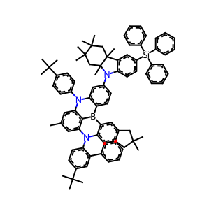 Cc1cc2c3c(c1)N(c1ccc(C(C)(C)C)cc1-c1ccccc1)c1cc4c(cc1B3c1ccc(N3c5ccc([Si](c6ccccc6)(c6ccccc6)c6ccccc6)cc5C5(C)CC(C)(C)C(C)(C)CC35C)cc1N2c1ccc(C(C)(C)C)cc1)CC(C)(C)C4